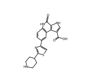 O=C(O)c1c[nH]c2c(=O)[nH]c3ccc(-c4csc(C5CCNCC5)n4)cc3c12